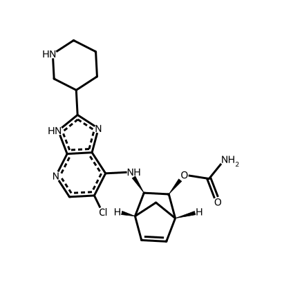 NC(=O)O[C@@H]1[C@H](Nc2c(Cl)cnc3[nH]c(C4CCCNC4)nc23)[C@H]2C=C[C@@H]1C2